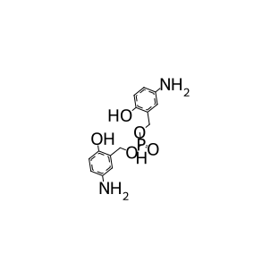 Nc1ccc(O)c(CO[PH](=O)OCc2cc(N)ccc2O)c1